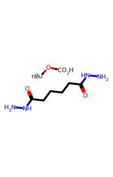 CCCCOC(=O)O.NNC(=O)CCCCC(=O)NN